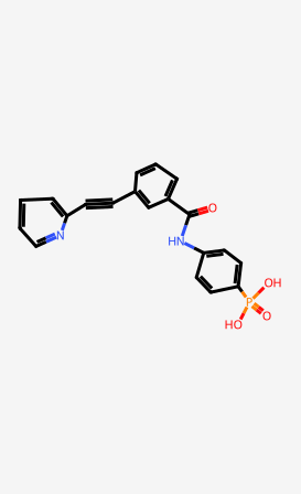 O=C(Nc1ccc(P(=O)(O)O)cc1)c1cccc(C#Cc2ccccn2)c1